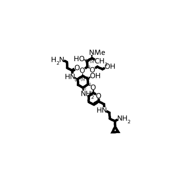 CN[C@@H](C)[C@@H](O)[C@H](OCCO)O[C@@H]1[C@@H](O)[C@H](O[C@@H]2CCC=C(CNCCC(N)C3CC3)O2)[C@@H](N)C[C@H]1NC(=O)CCN